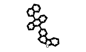 c1ccc2c(-c3c4ccccc4c(-c4ccc5c(ccc6oc7ccccc7c65)c4)c4ccccc34)cccc2c1